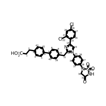 O=C(O)CCc1ccc(-c2ccc(Cc3nc(-c4ccc(Cl)cc4Cl)cn3-c3ccc(N4CC(=O)NS4(=O)=O)cc3)cc2)cc1